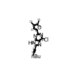 CCCCC#Cc1nc2c(Cl)nc(-c3cc(C)c(C)o3)nc2[nH]1